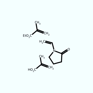 C=C(C)C(=O)O.C=C(C)C(=O)OCC.C=CN1CCCC1=O